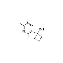 Cc1ncc(C2(O)CCC2)c(C)n1